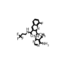 CC(Nc1ncnc(N)c1C#N)c1nc2c(F)cccc2cc1C(=O)NCCC(F)(F)F